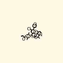 C=CC(=O)N1CC(C)N(c2nc(=O)n(-c3c(C)ccnc3C(C)C)c3nc(C4=CCOCC4)c(Cl)cc23)CC1C